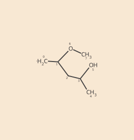 [CH2]C(CC(C)O)OC